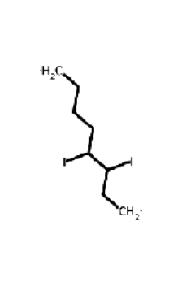 [CH2]CCCC(I)C(I)C[CH2]